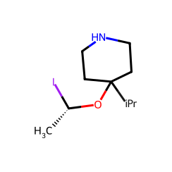 CC(C)C1(O[C@H](C)I)CCNCC1